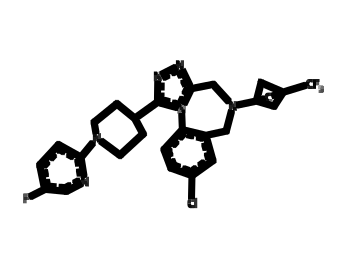 Fc1ccc(N2CCC(c3nnc4n3-c3ccc(Cl)cc3CN(C35CC(C(F)(F)F)(C3)C5)C4)CC2)nc1